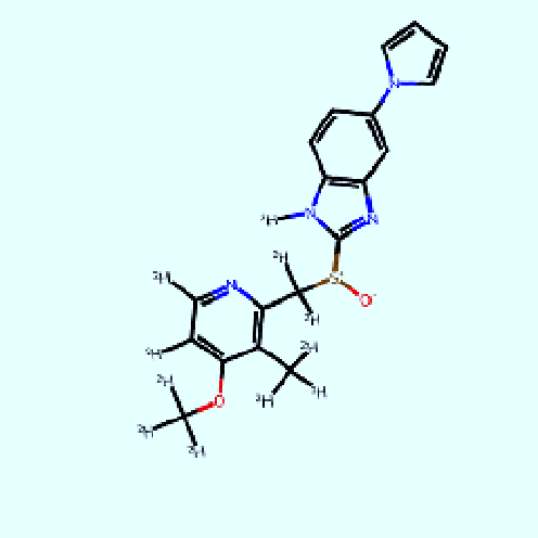 [2H]c1nc(C([2H])([2H])[S+]([O-])c2nc3cc(-n4cccc4)ccc3n2[2H])c(C([2H])([2H])[2H])c(OC([2H])([2H])[2H])c1[2H]